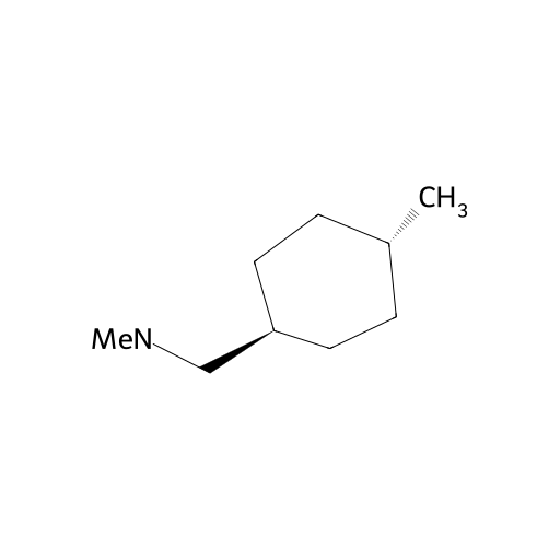 CNC[C@H]1CC[C@H](C)CC1